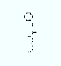 NC(CCCO)C(=O)OCc1ccccc1